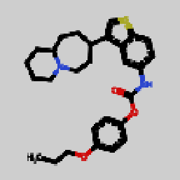 CCCOc1ccc(OC(=O)Nc2ccc3scc(C4CCC5CCCCN5CC4)c3c2)cc1